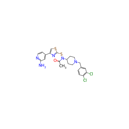 CC(=O)N(Sc1nc(-c2ccnc(N)c2)cs1)C1CCN(Cc2ccc(Cl)c(Cl)c2)CC1